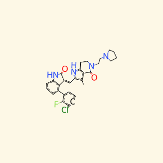 Cc1c(C=C2C(=O)Nc3cccc(-c4cccc(Cl)c4F)c32)[nH]c2c1C(=O)N(CCN1CCCC1)CC2